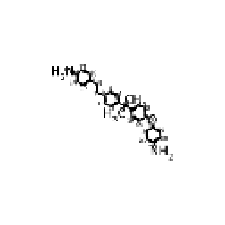 CC(C)(c1ccc(CCc2ccc(N)cc2)cc1)c1ccc(Oc2ccc(N)cc2)cc1